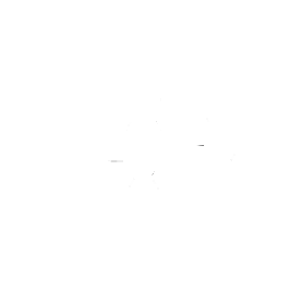 COC1CCC(=Cc2ccccc2[C@@H]2O[C@H](COC(C)=O)[C@@H](OC(C)=O)[C@H](OC(C)=O)[C@H]2OC(C)=O)CC1